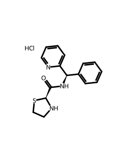 Cl.O=C(N[C@H](c1ccccc1)c1ccccn1)[C@H]1NCCS1